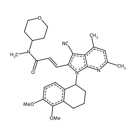 COc1ccc2c(c1OC)CCCC2n1c(C=CC(=O)N(C)C2CCOCC2)c(C#N)c2c(C)cc(C)nc21